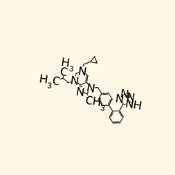 CC(C)CN1CN(CC2CC2)C=C2C1=NC(C)N2Cc1ccc(-c2ccccc2-c2nnn[nH]2)cc1